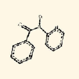 CCN(C(=O)c1ccccc1)c1ccccn1